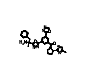 Cc1csc([C@H]2CCCN2C(=O)c2cc(-c3nnco3)cc(-c3nnc([C@](C)(N)Cc4ccccc4)o3)c2)n1